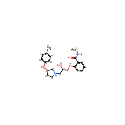 CC(=O)ONC(=O)c1ccccc1OCC(O)CN1CCC(Oc2ccc(C#N)cc2)C1